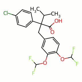 CC(C)C(Cc1ccc(OC(F)F)c(OC(F)F)c1)(C(=O)O)c1ccc(Cl)cc1